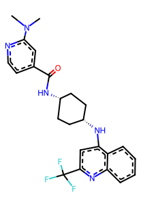 CN(C)c1cc(C(=O)N[C@H]2CC[C@@H](Nc3cc(C(F)(F)F)nc4ccccc34)CC2)ccn1